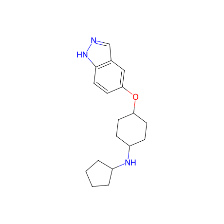 c1cc2[nH]ncc2cc1OC1CCC(NC2CCCC2)CC1